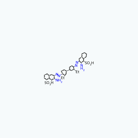 CCc1cc(-c2ccc(/N=N/c3cc4ccccc4c(S(=O)(=O)O)c3N)c(CC)c2)ccc1/N=N/c1cc2ccccc2c(S(=O)(=O)O)c1N